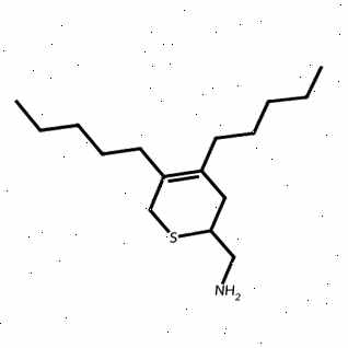 CCCCCC1=C(CCCCC)CC(CN)SC1